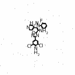 N/C(=C(/c1ccncc1)N(N)c1ccccc1F)c1nc(-c2cc(Cl)c(N)c(Cl)c2)no1